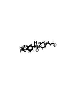 O=[C]CCN1CCN(C(=O)Nc2ccc(OC(F)(F)F)cc2)CC1